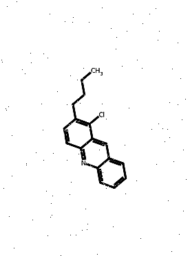 CCCCc1ccc2nc3ccccc3cc2c1Cl